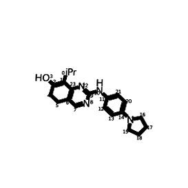 CC(C)C1=C(O)CCc2cnc(Nc3ccc(N4CCCC4)cc3)nc21